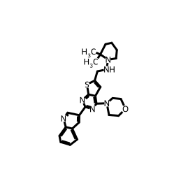 CC1(C)CCCCN1NCc1cc2c(N3CCOCC3)nc(-c3cnc4ccccc4c3)nc2s1